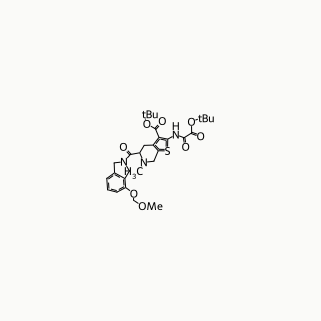 COCOc1cccc2c1CN(C(=O)C1Cc3c(sc(NC(=O)C(=O)OC(C)(C)C)c3C(=O)OC(C)(C)C)CN1C)C2